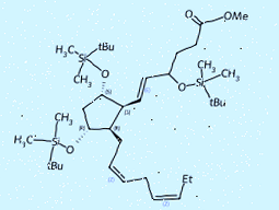 CC/C=C\C/C=C\C[C@@H]1[C@H](/C=C/C(CCC(=O)OC)O[Si](C)(C)C(C)(C)C)[C@@H](O[Si](C)(C)C(C)(C)C)C[C@H]1O[Si](C)(C)C(C)(C)C